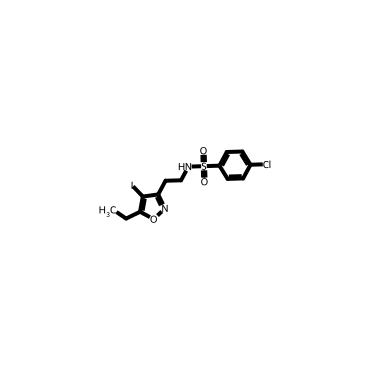 CCc1onc(CCNS(=O)(=O)c2ccc(Cl)cc2)c1I